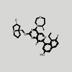 CCc1c(F)ccc2cc(O)cc(-c3ncc4c(N5CCOCC[C@H]5C)nc(OC[C@@]56CCCN5C[C@H](F)C6)nc4c3F)c12